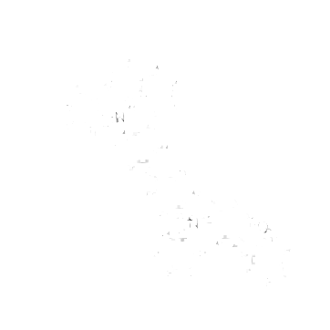 C1=Cc2c(ccc3c4ccccc4n(-c4ccc(-c5ccc(N(c6ccccc6)c6ccc7oc8ccccc8c7c6)cc5)cc4)c23)CC1